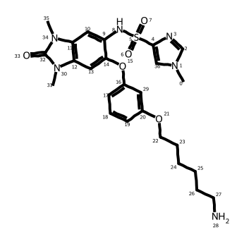 Cn1cnc(S(=O)(=O)Nc2cc3c(cc2Oc2cccc(OCCCCCCN)c2)n(C)c(=O)n3C)c1